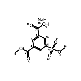 COC(=O)c1cc(C(=O)O)cc(S(=O)(=O)OC)c1.[NaH]